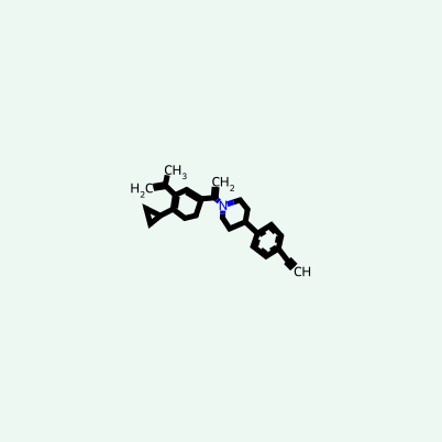 C#Cc1ccc(C2CCN(C(=C)C3=CC(C(=C)C)=C(C4CC4)CC3)CC2)cc1